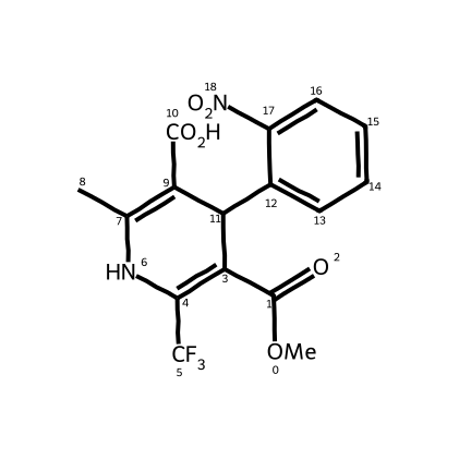 COC(=O)C1=C(C(F)(F)F)NC(C)=C(C(=O)O)C1c1ccccc1[N+](=O)[O-]